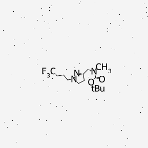 CN(CC1=NN(CCCC(F)(F)F)CC1)C(=O)OC(C)(C)C